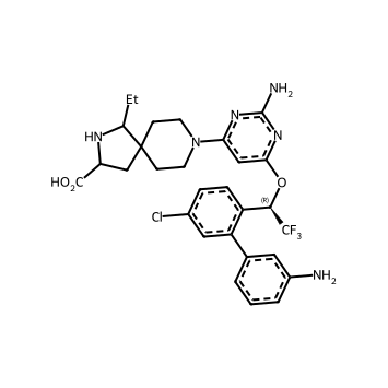 CCC1NC(C(=O)O)CC12CCN(c1cc(O[C@H](c3ccc(Cl)cc3-c3cccc(N)c3)C(F)(F)F)nc(N)n1)CC2